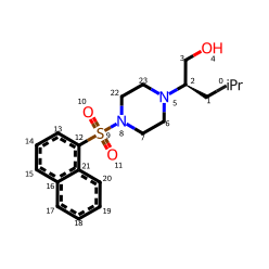 CC(C)C[C@H](CO)N1CCN(S(=O)(=O)c2cccc3ccccc23)CC1